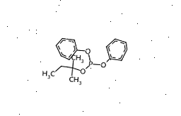 CCC(C)(C)OP(Oc1ccccc1)Oc1ccccc1